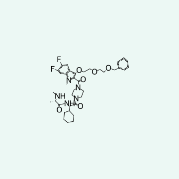 CN[C@@H](C)C(=O)N[C@@H](C(=O)N1CCN(C(=O)c2c(OCCOCCOCc3ccccc3)c3cc(F)c(F)cc3n2C)CC1)C1CCCCC1